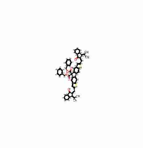 N#CC(C#N)=C1/C(=C/c2cc3cc4c(cc3s2)-c2cc3sc(/C=C5\C(=O)c6ccccc6C5=C(C#N)C#N)cc3cc2C4(C(=O)OCc2ccccc2)C(=O)OCc2ccccc2)C(=O)c2ccccc21